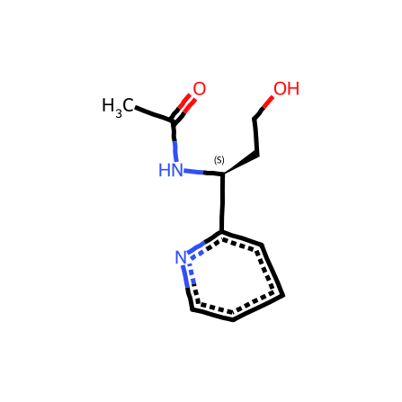 CC(=O)N[C@@H](CCO)c1ccccn1